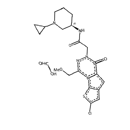 COCc1nn(CC(=O)N[C@@H]2CCCN(C3CC3)C2)c(=O)c2cc3cc(Cl)sc3n12.O=CO